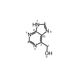 OCc1ncnc2[nH]cnc12